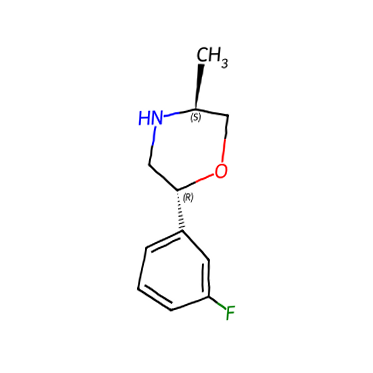 C[C@H]1CO[C@H](c2cccc(F)c2)CN1